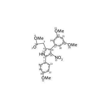 COC(=O)Cc1[nH]c(-c2ccc(OC)cc2)c([N+](=O)[O-])c1-c1cc(OC)cc(OC)c1